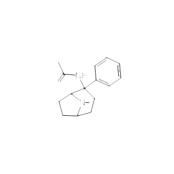 CC(=O)NC1(c2ccccc2)CCC2CCC1N2C